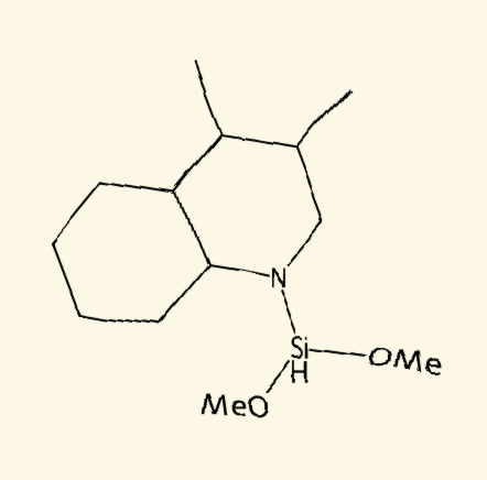 CO[SiH](OC)N1CC(C)C(C)C2CCCCC21